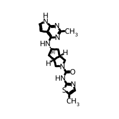 Cc1nc(N[C@@H]2C[C@@H]3CN(C(=O)Nc4ncc(C)s4)C[C@@H]3C2)c2cc[nH]c2n1